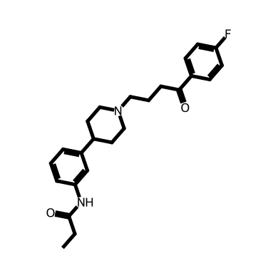 CCC(=O)Nc1cccc(C2CCN(CCCC(=O)c3ccc(F)cc3)CC2)c1